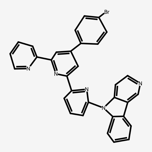 Brc1ccc(-c2cc(-c3ccccn3)nc(-c3cccc(-n4c5ccccc5c5cnccc54)n3)c2)cc1